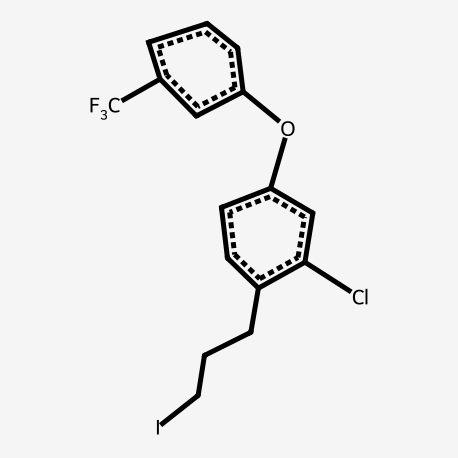 FC(F)(F)c1cccc(Oc2ccc(CCCI)c(Cl)c2)c1